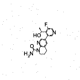 C[C@H](O)c1c(F)cncc1-c1cnc2c(c1)CCCN2C(N)=O